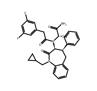 C[C@@H](C(N)=O)N(C(=O)Cc1cc(F)cc(F)c1)[C@@H]1C(=O)N(CC2CC2)c2ccccc2C[C@@H]1c1ccccc1